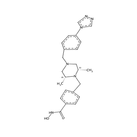 C[C@@H]1CN(Cc2ccc(-n3cnnc3)cc2)C[C@H](C)N1Cc1ccc(C(=O)NO)cc1